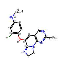 CNc1ncc2c(n1)N1CCN=C1C(Oc1ccc(NC(=O)O)cc1F)=C2